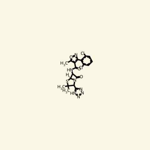 Cc1onc(-c2c(Cl)cccc2Cl)c1C(=O)NC1C(=O)N2C(c3nnn[nH]3)C(C)(C)S[C@@H]12